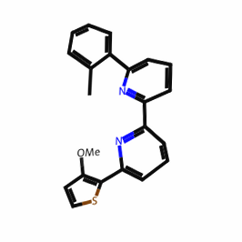 COc1ccsc1-c1cccc(-c2cccc(-c3ccccc3C)n2)n1